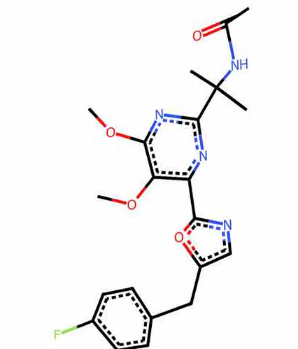 COc1nc(C(C)(C)NC(C)=O)nc(-c2ncc(Cc3ccc(F)cc3)o2)c1OC